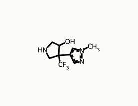 Cn1cc(C2(C(F)(F)F)CNCC2O)cn1